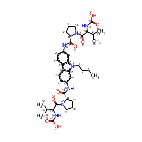 CCCCn1c2cc(NC(=O)[C@@H]3CCCN3C(=O)C(NC(=O)O)C(C)C)ccc2c2ccc(NC(=O)[C@@H]3CCCN3C(=O)C(NC(=O)O)C(C)C)cc21